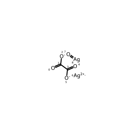 O=C([O-])C(=O)[O-].[Ag+2].[O]=[Ag]